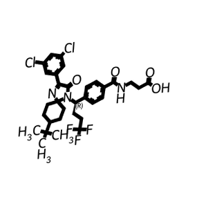 CC(C)(C)C1CCC2(CC1)N=C(c1cc(Cl)cc(Cl)c1)C(=O)N2[C@H](CCC(F)(F)F)c1ccc(C(=O)NCCC(=O)O)cc1